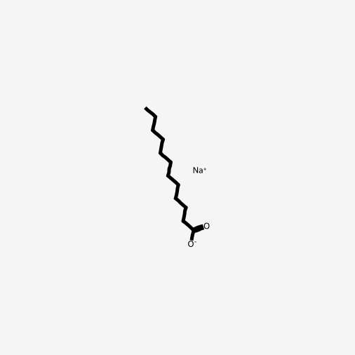 CCCCCCCCCCCC(=O)[O-].[Na+]